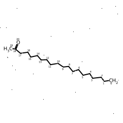 [CH2]CCCCCCCCCCCCCCCCCC(C)=O